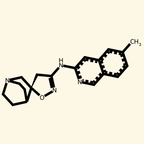 Cc1ccc2cnc(NC3=NO[C@@]4(C3)CN3CCC4CC3)cc2c1